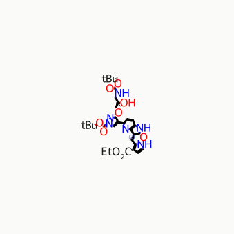 CCOC(=O)c1cc[nH]c1/C=C1\C(=O)Nc2ccc(-c3cn(C(=O)OC(C)(C)C)nc3OC[C@H](O)CNC(=O)OC(C)(C)C)nc21